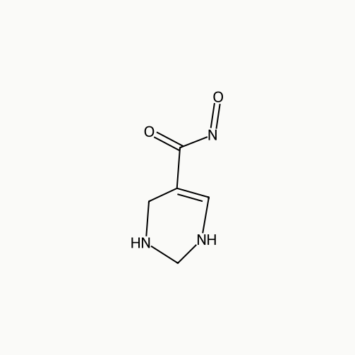 O=NC(=O)C1=CNCNC1